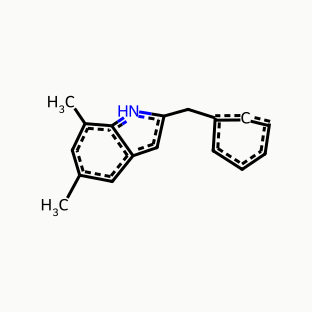 Cc1cc(C)c2[nH]c(Cc3ccccc3)cc2c1